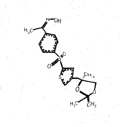 C/C(=N/O)c1ccc(S(=O)(=O)c2cc([C@@]3(C)COC(C)(C)O3)cs2)cc1